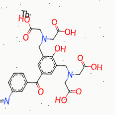 O=C(O)CN(CC(=O)O)Cc1cc(C(=O)c2cccc(N=C=S)c2)cc(CN(CC(=O)O)CC(=O)O)c1O.[Tb]